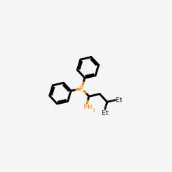 CCC(CC)CC(P)P(c1ccccc1)c1ccccc1